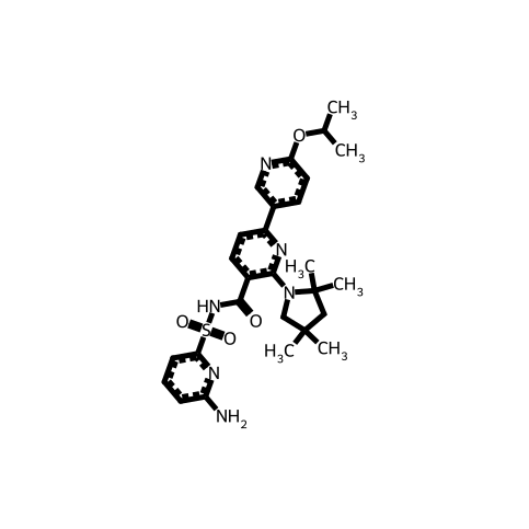 CC(C)Oc1ccc(-c2ccc(C(=O)NS(=O)(=O)c3cccc(N)n3)c(N3CC(C)(C)CC3(C)C)n2)cn1